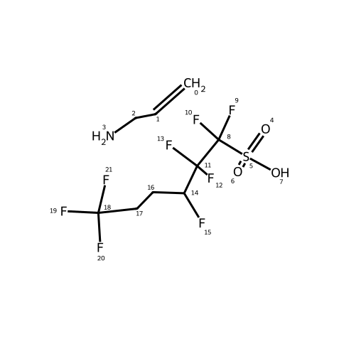 C=CCN.O=S(=O)(O)C(F)(F)C(F)(F)C(F)CCC(F)(F)F